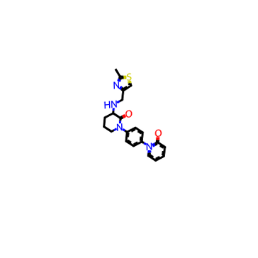 Cc1nc(CNC2CCCN(c3ccc(-n4ccccc4=O)cc3)C2=O)cs1